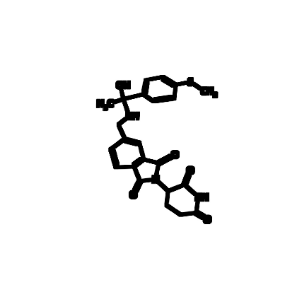 CSc1ccc(C(C)(O)NCc2ccc3c(c2)C(=O)N(C2CCC(=O)NC2=O)C3=O)cc1